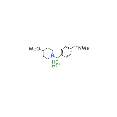 CNCc1ccc(CN2CCC(OC)CC2)cc1.Cl.Cl